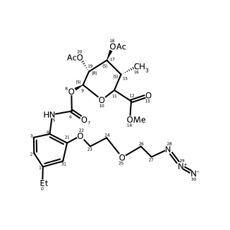 CCc1ccc(NC(=O)O[C@@H]2OC(C(=O)OC)[C@@H](C)[C@H](OC(C)=O)[C@H]2OC(C)=O)c(OCCOCCN=[N+]=[N-])c1